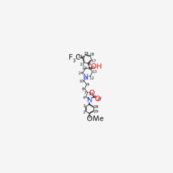 COc1ccc(N2CC(CCCN3CCC(O)(c4cccc(C(F)(F)F)c4)CC3)OC2=O)cc1